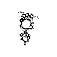 CO[C@@H](C)c1ncc(N2CCN(C)CC2)cc1-c1c2c3cc(ccc3n1C)-c1csc(n1)C[C@H](NC(=O)[C@H](C1CCCC1)N1CC[C@]3(CCN(C(=O)[C@@H]4N[C@@H]4C4CC4)C3)C1=O)C(=O)N1CCC[C@H](N1)C(=O)OCC(C)(C)C2